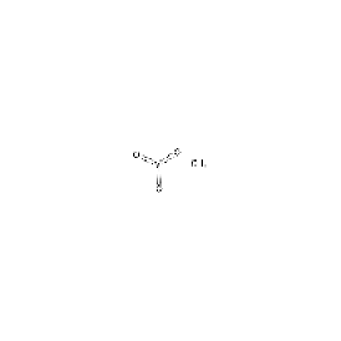 C.[O]=[V](=[O])=[O]